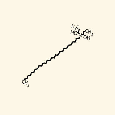 CCCCCCCCCCCCCCCCCCCCCCCCCCCCCN(C(O)CC)C(O)CC